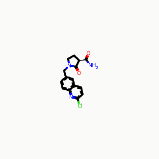 NC(=O)[C@@H]1CCN(Cc2ccc3nc(Cl)ccc3c2)C1=O